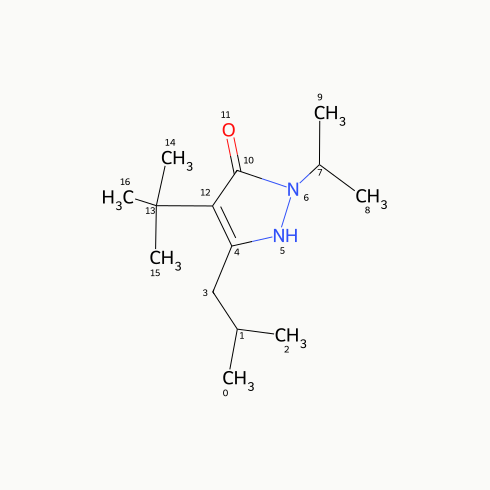 CC(C)Cc1[nH]n(C(C)C)c(=O)c1C(C)(C)C